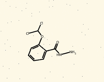 NNC(=O)c1ccccc1OC(Cl)Cl